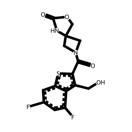 O=C1NC2(CO1)CN(C(=O)c1sc3cc(F)cc(F)c3c1CO)C2